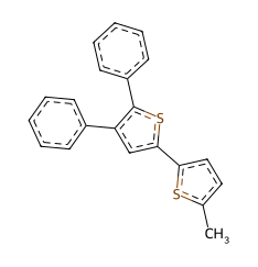 Cc1ccc(-c2cc(-c3ccccc3)c(-c3ccccc3)s2)s1